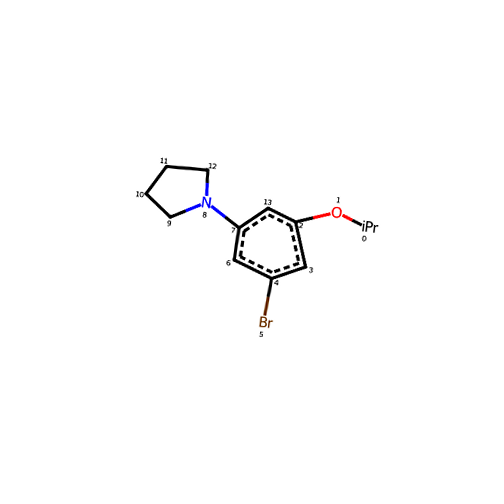 CC(C)Oc1cc(Br)cc(N2CCCC2)c1